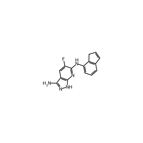 Nc1n[nH]c2nc(Nc3cccc4c3CC=C4)c(F)cc12